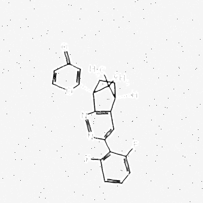 CC1(C)[C@H]2CC[C@]1(c1cc(=O)cco1)c1nnc(-c3c(F)cccc3F)cc12